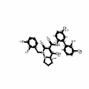 C[C@]12CCCN1N(Cc1cccc(F)c1F)C(=O)C(C(=O)Nc1ccc(C(F)(F)F)cc1-c1cccc(C#N)c1F)=C2O